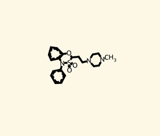 CN1CCN(CCC2Oc3ccccc3N(c3ccccc3)S2(=O)=O)CC1